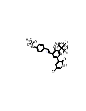 [2H]C([2H])([2H])C(c1cc(-c2cc(Cl)c[nH]c2=O)cc(/C=C/c2ccc(NS(C)(=O)=O)cc2)c1OC)(C([2H])([2H])[2H])C([2H])([2H])[2H]